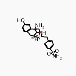 CN1CC[C@@]2(N)c3cc(O)ccc3C[C@@H]1C2NCCc1ccc(S(N)(=O)=O)cc1